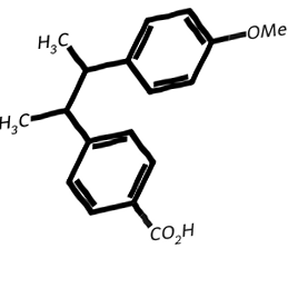 COc1ccc(C(C)C(C)c2ccc(C(=O)O)cc2)cc1